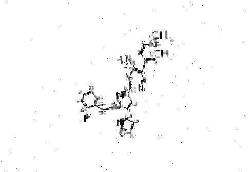 C=N/C=C\C(=C/C)c1cnc(-c2cc(-c3ccon3)n(Cc3ccccc3F)n2)nc1N